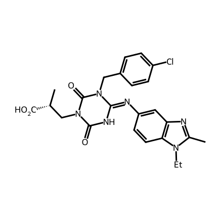 CCn1c(C)nc2cc(/N=c3\[nH]c(=O)n(C[C@@H](C)C(=O)O)c(=O)n3Cc3ccc(Cl)cc3)ccc21